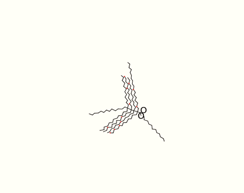 CCCCCCCCCCCCCCCCCCC(CCCCCCCCCCCC)(C(=O)OCCCCCCCCCCCC)C(CCCCCCCCCCCC)(CCCCCCCCCCCC)C(CCCCCCCCCCCC)(CCCCCCCCCCCC)C(CCCCCCCCCCCC)(CCCCCCCCCCCC)CCCCCCCCCCCCC